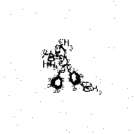 [3H]BSO[C@@H](CC(C)=O)C[C@@H](OCc1ccc(OC)cc1)[C@@H](C)OCc1ccccc1